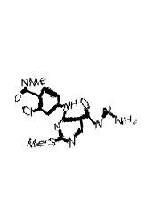 CNC(=O)c1ccc(Nc2nc(SC)ncc2C(=O)N=NN)cc1Cl